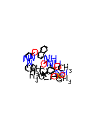 CCN(CC)c1nccc(Oc2ccc(NC(=O)Nc3cc(C(C)(C)C)cc(NS(C)(=O)=O)c3OC)c3ccccc23)n1